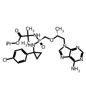 CC(C)OC(=O)C(C)(C)N[P@@](=O)(CO[C@H](C)Cn1cnc2c(N)ncnc21)NC1(c2ccc(Cl)cc2)CC1